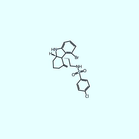 C=C1CCC[C@@H]2Nc3cccc(Br)c3[C@@]12CCNS(=O)(=O)c1ccc(Cl)cc1